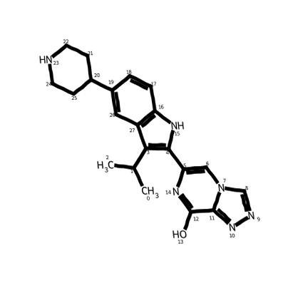 CC(C)c1c(-c2cn3cnnc3c(O)n2)[nH]c2ccc(C3CCNCC3)cc12